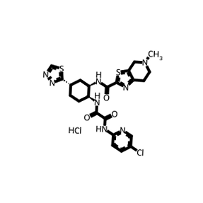 CN1CCc2nc(C(=O)N[C@@H]3C[C@@H](c4nncs4)CC[C@@H]3NC(=O)C(=O)Nc3ccc(Cl)cn3)sc2C1.Cl